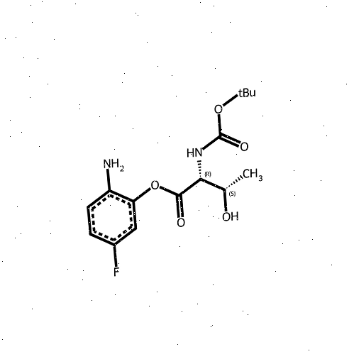 C[C@H](O)[C@@H](NC(=O)OC(C)(C)C)C(=O)Oc1cc(F)ccc1N